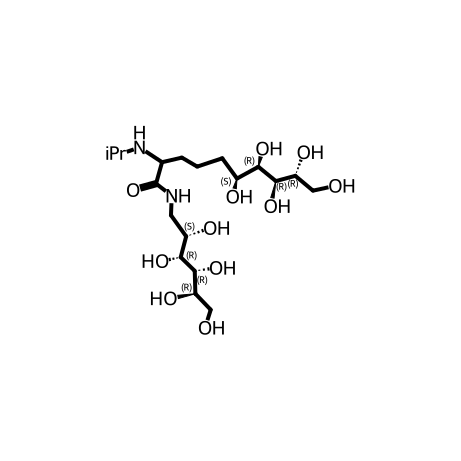 CC(C)NC(CCC[C@H](O)[C@@H](O)[C@H](O)[C@H](O)CO)C(=O)NC[C@H](O)[C@@H](O)[C@H](O)[C@H](O)CO